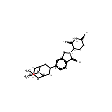 CCN1C2CC(c3ccc4c(c3)CN(C3CCC(=O)NC3=O)C4=O)CC1CN(C)C2